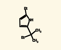 CCc1ccc(C(C)(C)CC)[nH]1